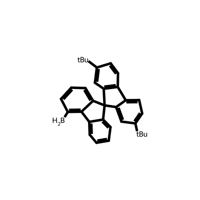 Bc1cccc2c1-c1ccccc1C21c2cc(C(C)(C)C)ccc2-c2ccc(C(C)(C)C)cc21